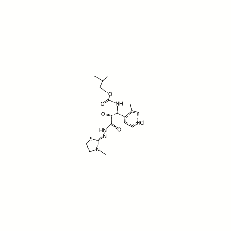 Cc1ccccc1C(NC(=O)OCC(C)C)C(=O)C(=O)NN=C1SCCN1C.Cl